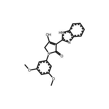 COc1cc(OC)cc(N2CC(O)=C(c3nc4ccccc4[nH]3)C2=O)c1